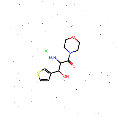 Cl.NC(C(=O)N1CCOCC1)C(O)c1ccsc1